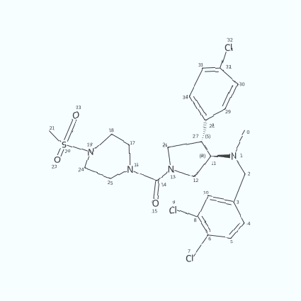 CN(Cc1ccc(Cl)c(Cl)c1)[C@H]1CN(C(=O)N2CCN(S(C)(=O)=O)CC2)C[C@@H]1c1ccc(Cl)cc1